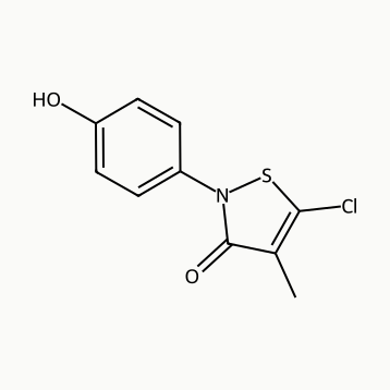 Cc1c(Cl)sn(-c2ccc(O)cc2)c1=O